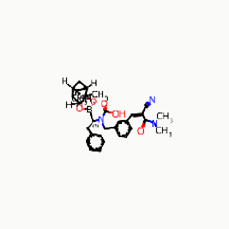 CN(C)C(=O)C(C#N)=Cc1cccc(CN(C(=O)O)[C@@H](Cc2ccccc2)B2O[C@@H]3C[C@@H]4C[C@@H](C4(C)C)[C@]3(C)O2)c1